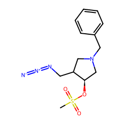 CS(=O)(=O)O[C@@H]1CN(Cc2ccccc2)CC1CN=[N+]=[N-]